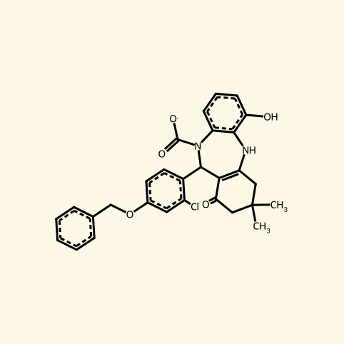 CC1(C)CC(=O)C2=C(C1)Nc1c(O)cccc1N(C([O])=O)C2c1ccc(OCc2ccccc2)cc1Cl